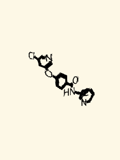 O=C(NC1CC2CCN(CC2)C1)c1ccc(Oc2cncc(Cl)c2)cc1